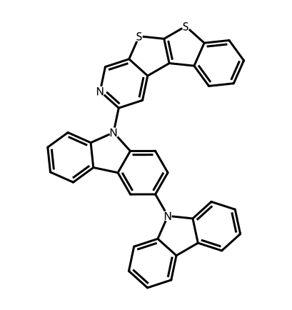 c1ccc2c(c1)sc1sc3cnc(-n4c5ccccc5c5cc(-n6c7ccccc7c7ccccc76)ccc54)cc3c12